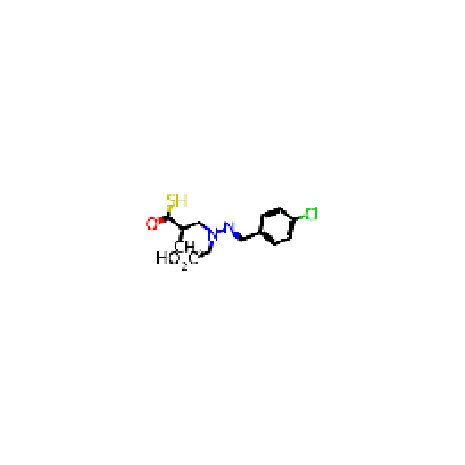 CC(CN(CC(=O)O)N=Cc1ccc(Cl)cc1)C(=O)S